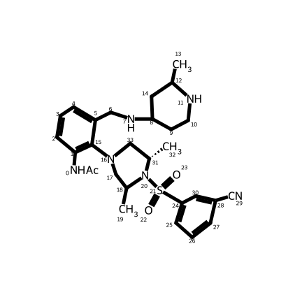 CC(=O)Nc1cccc(CNC2CCNC(C)C2)c1N1CC(C)N(S(=O)(=O)c2cccc(C#N)c2)[C@@H](C)C1